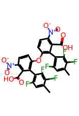 Cc1cc(F)c(-c2c(Oc3ccc([N+](=O)[O-])c(C(=O)O)c3-c3c(F)cc(C)c(F)c3F)ccc([N+](=O)[O-])c2C(=O)O)c(F)c1F